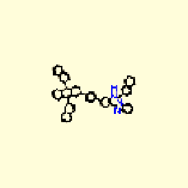 C1=CCC2CC(C3=C4C=C(c5ccc(C6=CC7=C(CC6)c6nc8ccccc8n6C(c6ccc8c(c6)=CCCC=8)N7)cc5)CCC4C(C4C=c5ccccc5=CC4)C4CC=CC=C34)C=CC2=C1